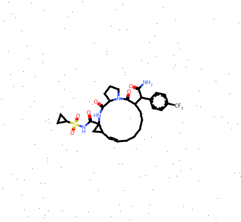 NC(=O)C(c1ccc(C(F)(F)F)cc1)C1CCCCC/C=C\C2CC2(C(=O)NS(=O)(=O)C2CC2)NC(=O)C2CCCN2C1=O